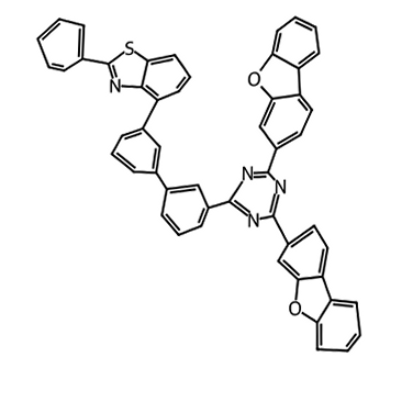 c1ccc(-c2nc3c(-c4cccc(-c5cccc(-c6nc(-c7ccc8c(c7)oc7ccccc78)nc(-c7ccc8c(c7)oc7ccccc78)n6)c5)c4)cccc3s2)cc1